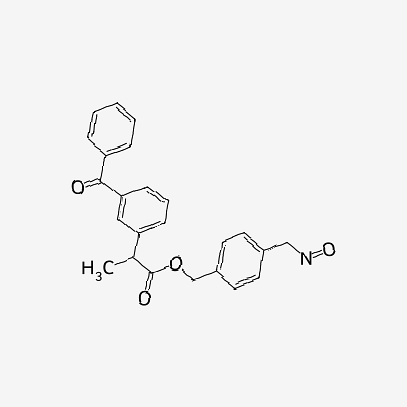 CC(C(=O)OCc1ccc(CN=O)cc1)c1cccc(C(=O)c2ccccc2)c1